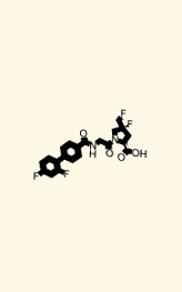 O=C(NCC(=O)N1C[C@@](F)(CF)C[C@H]1C(=O)O)c1ccc(-c2ccc(F)cc2F)cc1